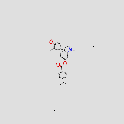 COc1ccc(C23CC=C(OC(=O)c4ccc(C(C)C)cc4)CC2N(C)CC3)cc1C